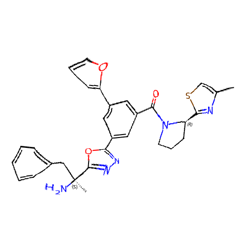 Cc1csc([C@H]2CCCN2C(=O)c2cc(-c3ccco3)cc(-c3nnc([C@@](C)(N)Cc4ccccc4)o3)c2)n1